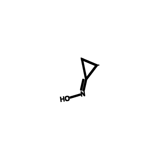 ON=C1[CH]C1